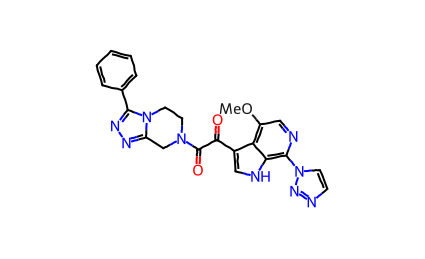 COc1cnc(-n2ccnn2)c2[nH]cc(C(=O)C(=O)N3CCn4c(nnc4-c4ccccc4)C3)c12